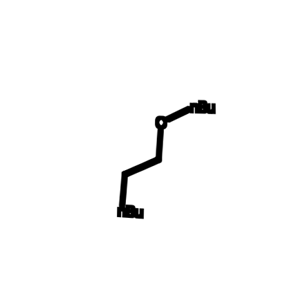 CCCCCCOCCCC